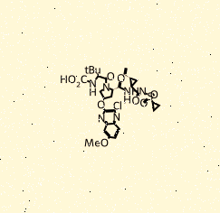 C=C[C@@H]1C[C@]1(NC(=O)[C@@H]1C[C@@H](Oc2nc3cc(OC)ccc3nc2Cl)CN1C(=O)[C@@H](NC(=O)O)C(C)(C)C)C(=O)NS(=O)(=O)C1CC1